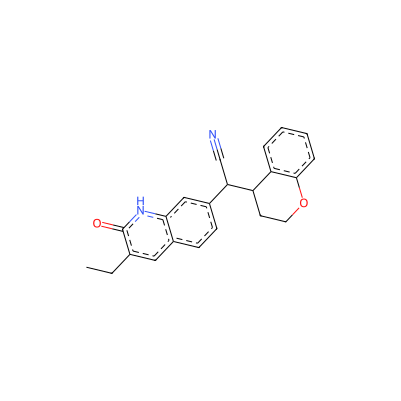 CCc1cc2ccc(C(C#N)C3CCOc4ccccc43)cc2[nH]c1=O